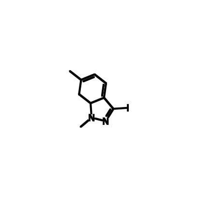 CC1=CC=C2C(I)=NN(C)C2C1